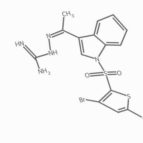 C/C(=N/NC(=N)N)c1cn(S(=O)(=O)c2sc(Cl)cc2Br)c2ccccc12